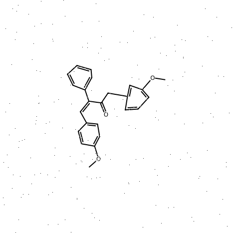 COc1ccc(C=C(C(=O)Cc2cccc(OC)c2)c2ccccc2)cc1